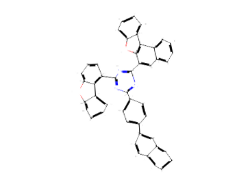 c1ccc2cc(-c3ccc(-c4nc(-c5cc6ccccc6c6c5oc5ccccc56)nc(-c5cccc6oc7ccccc7c56)n4)cc3)ccc2c1